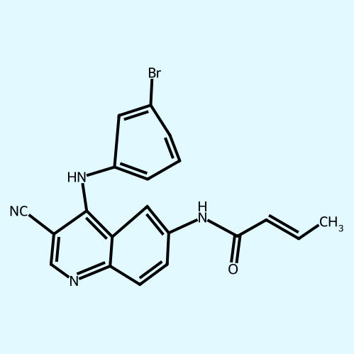 C/C=C/C(=O)Nc1ccc2ncc(C#N)c(Nc3cccc(Br)c3)c2c1